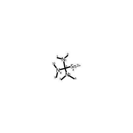 CN(C)[C]([Sn+3])(N(C)C)N(C)C